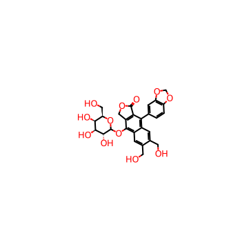 O=C1OCc2c1c(-c1ccc3c(c1)OCO3)c1cc(CO)c(CO)cc1c2OC1O[C@H](CO)[C@H](O)[C@H](O)[C@H]1O